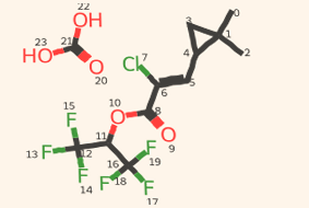 CC1(C)CC1C=C(Cl)C(=O)OC(C(F)(F)F)C(F)(F)F.O=C(O)O